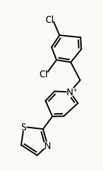 Clc1ccc(C[n+]2ccc(-c3nccs3)cc2)c(Cl)c1